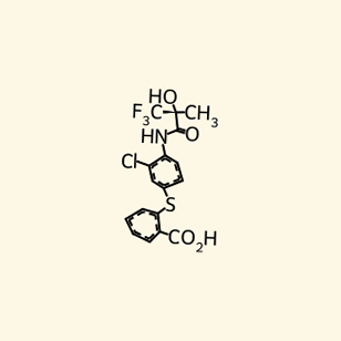 C[C@@](O)(C(=O)Nc1ccc(Sc2ccccc2C(=O)O)cc1Cl)C(F)(F)F